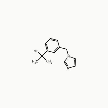 CC(C)(C#N)c1cccc(Cn2ccnc2)c1